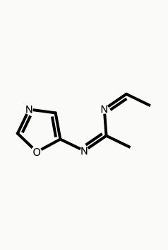 C/C=N\C(C)=N/c1cnco1